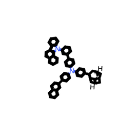 c1cc(-c2ccc(N(c3ccc(-c4ccc5ccccc5c4)cc3)c3ccc(C45C[C@@H]6CC7C[C@@H](C4)[C@@]7(C6)C5)cc3)cc2)cc(-n2c3ccccc3c3ccc4ccccc4c32)c1